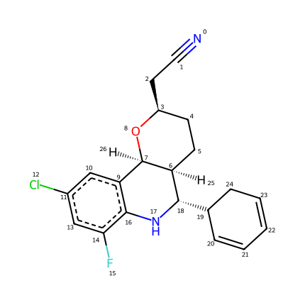 N#CC[C@H]1CC[C@@H]2[C@H](O1)c1cc(Cl)cc(F)c1N[C@H]2C1C=CC=CC1